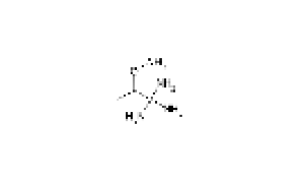 CC(ON)C(N)(N)N